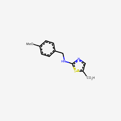 COc1ccc(CNc2ncc(C(=O)O)s2)cc1